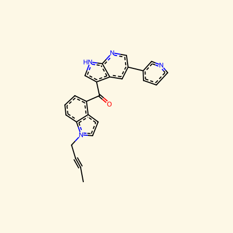 CC#CCn1ccc2c(C(=O)c3c[nH]c4ncc(-c5cccnc5)cc34)cccc21